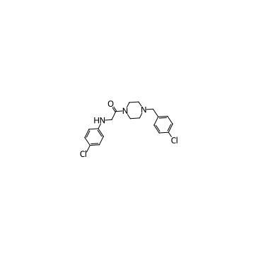 O=C(CNc1ccc(Cl)cc1)N1CCN(Cc2ccc(Cl)cc2)CC1